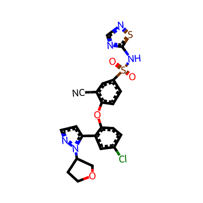 N#Cc1cc(S(=O)(=O)Nc2ncns2)ccc1Oc1ccc(Cl)cc1-c1ccnn1C1CCOC1